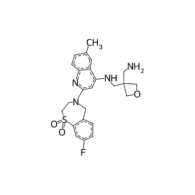 Cc1ccc2nc(N3CCS(=O)(=O)c4cc(F)ccc4C3)cc(NCC3(CN)COC3)c2c1